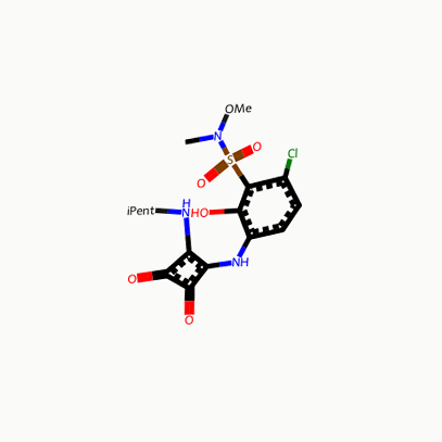 CCCC(C)Nc1c(Nc2ccc(Cl)c(S(=O)(=O)N(C)OC)c2O)c(=O)c1=O